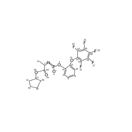 CC(N=[P+]([O-])Oc1ccccc1Oc1c(F)c(F)c(F)c(F)c1F)C(=O)OC1CCCC1